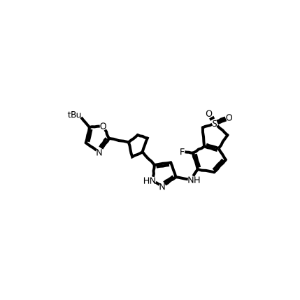 CC(C)(C)c1cnc(C2CCC(c3cc(Nc4ccc5c(c4F)CS(=O)(=O)C5)n[nH]3)C2)o1